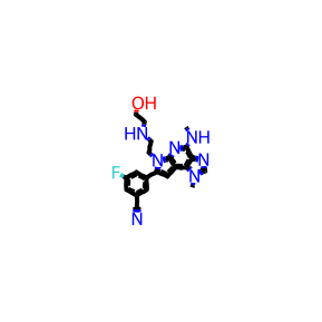 CNc1nc2c(cc(-c3cc(F)cc(C#N)c3)n2CCNCCO)c2c1ncn2C